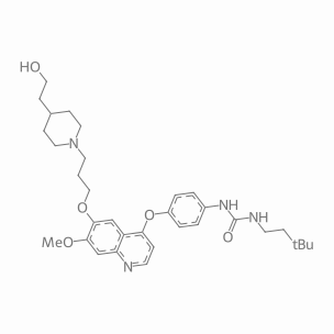 COc1cc2nccc(Oc3ccc(NC(=O)NCCC(C)(C)C)cc3)c2cc1OCCCN1CCC(CCO)CC1